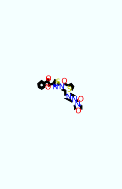 O=C1c2ccccc2OC1c1csc(N(CCCN2CCN(C(=O)N3CCOCC3)CC2)C(=O)c2cccs2)n1